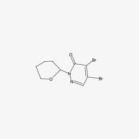 O=c1c(Br)c(Br)cnn1C1CCCCO1